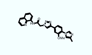 COc1cc(-c2cn(CC(=O)Nc3cccc4cccnc34)nn2)ccc1-n1cnc(C)c1